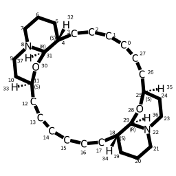 C1CCC[C@H]2CCCN3CC[C@H](CCCCCC[C@H]4CCCN5CC[C@H](CC1)O[C@H]45)O[C@H]23